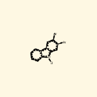 CC(=O)c1cc2c3ccccc3[s+]([O-])c2cc1C(C)=O